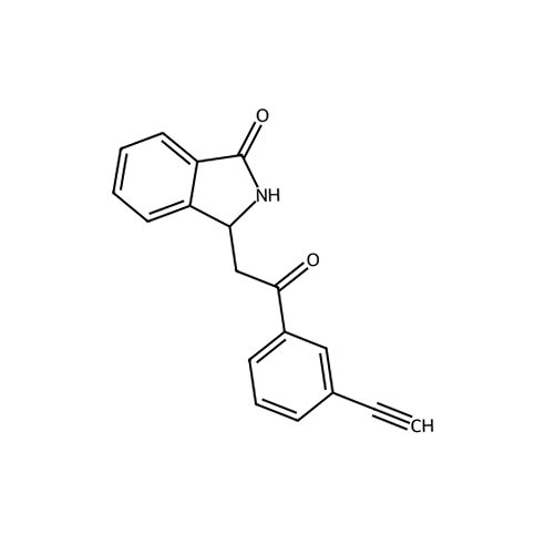 C#Cc1cccc(C(=O)CC2NC(=O)c3ccccc32)c1